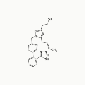 CC=CCc1nc(CCS)nn1Cc1ccc(-c2ccccc2-c2nnn[nH]2)cc1